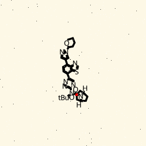 CN(c1ncc(-c2ccc(-c3cnn(C4CCCCO4)c3)c3ncsc23)nn1)C1C[C@H]2CC[C@@H](C1)N2C(=O)OC(C)(C)C